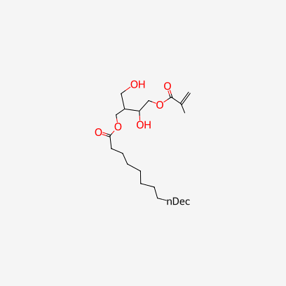 C=C(C)C(=O)OCC(O)C(CO)COC(=O)CCCCCCCCCCCCCCCCC